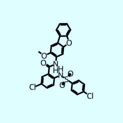 COc1cc2c(cc1NC(=O)c1cc(Cl)ccc1NS(=O)(=O)c1ccc(Cl)cc1)oc1ccccc12